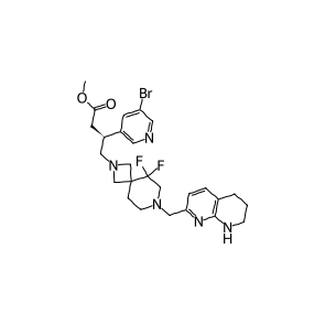 COC(=O)C[C@H](CN1CC2(CCN(Cc3ccc4c(n3)NCCC4)CC2(F)F)C1)c1cncc(Br)c1